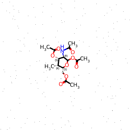 CC(=O)N[C@H]1C(OC(C)=O)O[C@H](COC(C)=O)[C@H](C)[C@@H]1OC(C)=O